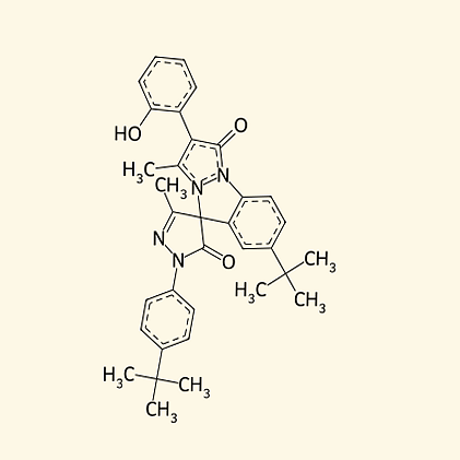 CC1=NN(c2ccc(C(C)(C)C)cc2)C(=O)C12c1cc(C(C)(C)C)ccc1-n1c(=O)c(-c3ccccc3O)c(C)n12